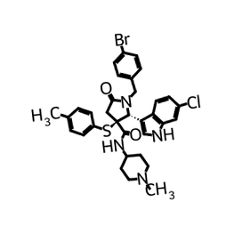 Cc1ccc(S[C@@]2(C(=O)NC3CCN(C)CC3)CC(=O)N(Cc3ccc(Br)cc3)[C@@H]2c2c[nH]c3cc(Cl)ccc23)cc1